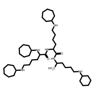 O=C(O)C(CCCCNC1CCCCC1)NC(=O)C(CCCCNC1CCCCCC1)NC(=O)C(CCCCNC1CCCCCC1)NC1CCCCCC1